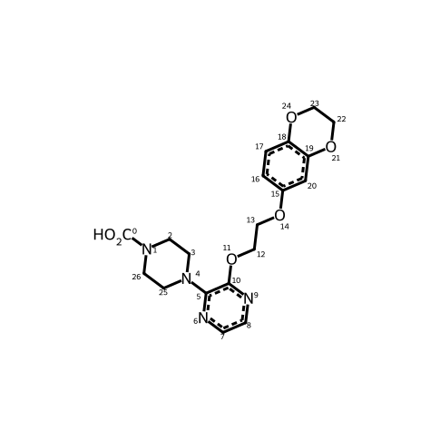 O=C(O)N1CCN(c2nccnc2OCCOc2ccc3c(c2)OCCO3)CC1